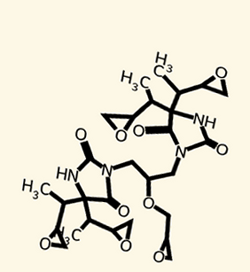 CC(C1CO1)C1(C(C)C2CO2)NC(=O)N(CC(CN2C(=O)NC(C(C)C3CO3)(C(C)C3CO3)C2=O)OCC2CO2)C1=O